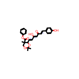 CC1(C)OCC(C)(C(=O)Oc2ccccc2)C(/C=C/C(O)=C/C(=O)/C=C/c2ccc(O)cc2)O1